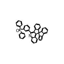 O=P(c1ccccc1)(c1ccccc1)c1cccc(-c2nc3ccccc3c3c2-c2ccccc2C32c3ccccc3-c3ccccc32)c1